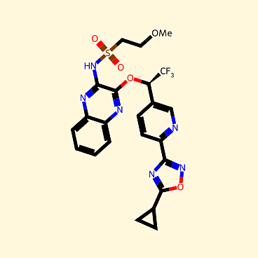 COCCS(=O)(=O)Nc1nc2ccccc2nc1O[C@H](c1ccc(-c2noc(C3CC3)n2)nc1)C(F)(F)F